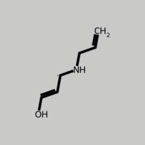 C=CCN[CH]C=CO